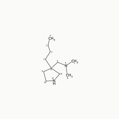 CCCCC1(CN(C)C)CCNC1